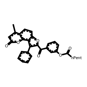 CCCCCC(=O)Oc1cccc(C(=O)c2oc3ccc4c(C)cc(=O)oc4c3c2-c2ccccc2)c1